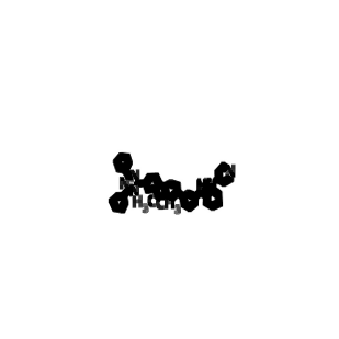 CC1(C)c2cc(-c3cccc(C(=N)c4ccccc4Nc4ccncc4)c3)ccc2-c2ccc(-c3nc(-c4ccccc4)nc(-c4ccccc4)n3)cc21